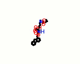 CN(CCCC[C@H](NC(=O)OCc1cccc2c1Cc1ccccc1-2)C(=O)O)C(=O)OC(C)(C)C